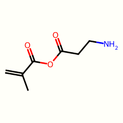 C=C(C)C(=O)OC(=O)CCN